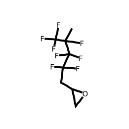 CC(F)(C(F)(F)F)C(F)(F)C(F)(F)CC1CO1